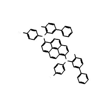 Cc1ccc(-c2ccccc2)cc1N(c1ccc(C#N)cc1)c1ccc2ccc3c(N(c4ccc(C#N)cc4)c4cc(-c5ccccc5)ccc4C)ccc4ccc1c2c43